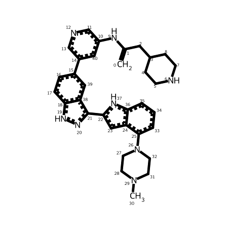 C=C(CC1CCNCC1)Nc1cncc(-c2ccc3[nH]nc(-c4cc5c(N6CCN(C)CC6)cccc5[nH]4)c3c2)c1